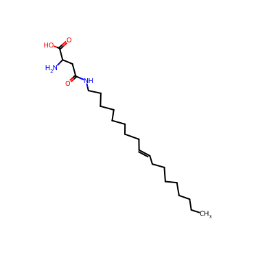 CCCCCCCCC=CCCCCCCCCNC(=O)CC(N)C(=O)O